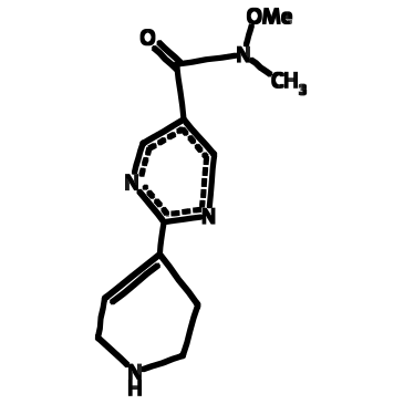 CON(C)C(=O)c1cnc(C2=CCNCC2)nc1